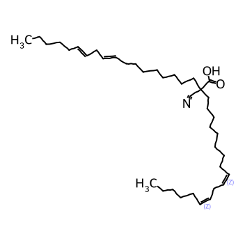 CCCCCC=CCC=CCCCCCCCCC(C#N)(CCCCCCCC/C=C\C/C=C\CCCCC)C(=O)O